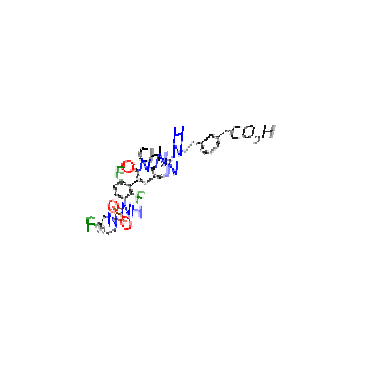 Cn1c(=O)c(-c2c(F)ccc(NS(=O)(=O)N3CC[C@@H](F)C3)c2F)cc2cnc(NCCc3cccc(CC(=O)O)c3)nc21